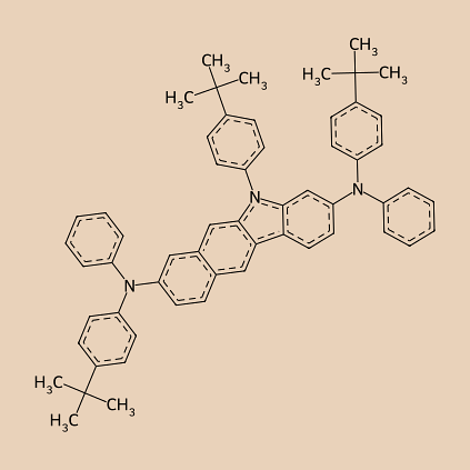 CC(C)(C)c1ccc(N(c2ccccc2)c2ccc3cc4c5ccc(N(c6ccccc6)c6ccc(C(C)(C)C)cc6)cc5n(-c5ccc(C(C)(C)C)cc5)c4cc3c2)cc1